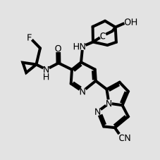 N#Cc1cnn2c(-c3cc(NC45CCC(O)(CC4)CC5)c(C(=O)NC4(CF)CC4)cn3)ccc2c1